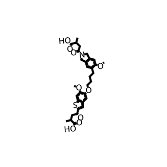 COc1cc2c(cc1CCCCOc1cc3cc(C(=O)CC(C)C(=O)O)sc3cc1OC)CN(C(=O)CC(C)C(=O)O)C2